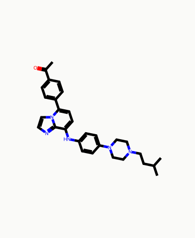 CC(=O)c1ccc(-c2ccc(Nc3ccc(N4CCN(CCC(C)C)CC4)cc3)c3nccn23)cc1